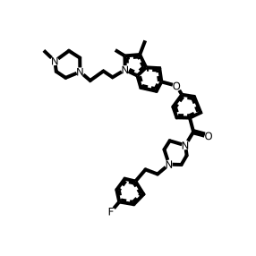 Cc1c(C)n(CCCN2CCN(C)CC2)c2ccc(Oc3ccc(C(=O)N4CCN(CCc5ccc(F)cc5)CC4)cc3)cc12